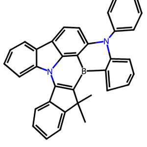 CC1(C)C2=C(c3ccccc31)n1c3ccccc3c3ccc4c(c31)B2c1ccccc1N4c1ccccc1